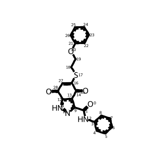 O=C(Nc1ccccc1)c1n[nH]c2c1C(=O)C(SCCOc1ccccc1)=CC2=O